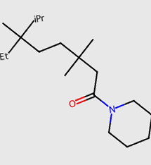 CCC(C)(CCC(C)(C)CC(=O)N1CCCCC1)C(C)C